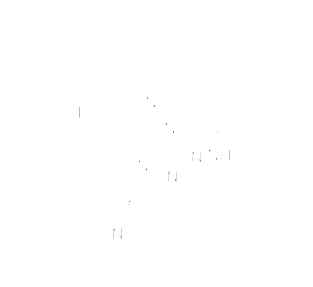 Oc1cc(Nc2nc3c(N4CC5CC[C@@H](C4)N5)nc(OC[C@@]45CCCN4CC(F)C5)nc3s2)c2ccccc2c1